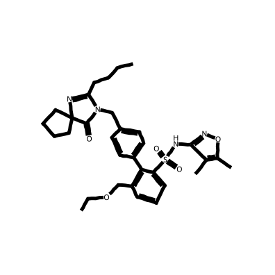 CCCCC1=NC2(CCCC2)C(=O)N1Cc1ccc(-c2c(COCC)cccc2S(=O)(=O)Nc2noc(C)c2C)cc1